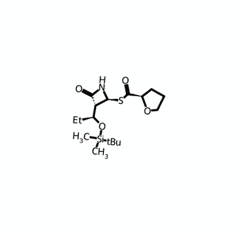 CC[C@H](O[Si](C)(C)C(C)(C)C)[C@@H]1C(=O)N[C@H]1SC(=O)[C@H]1CCCO1